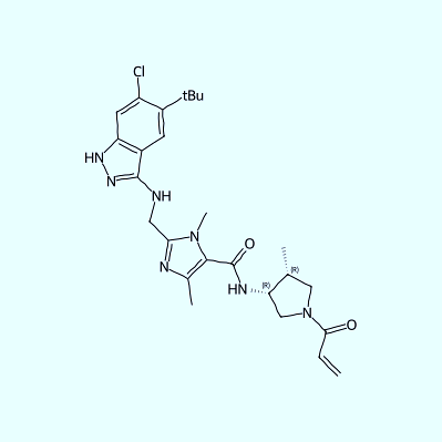 C=CC(=O)N1C[C@@H](C)[C@@H](NC(=O)c2c(C)nc(CNc3n[nH]c4cc(Cl)c(C(C)(C)C)cc34)n2C)C1